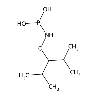 CC(C)C(ONP(O)O)C(C)C